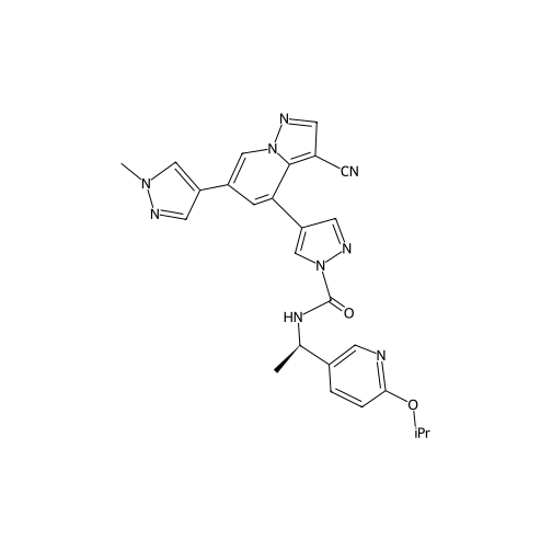 CC(C)Oc1ccc([C@@H](C)NC(=O)n2cc(-c3cc(-c4cnn(C)c4)cn4ncc(C#N)c34)cn2)cn1